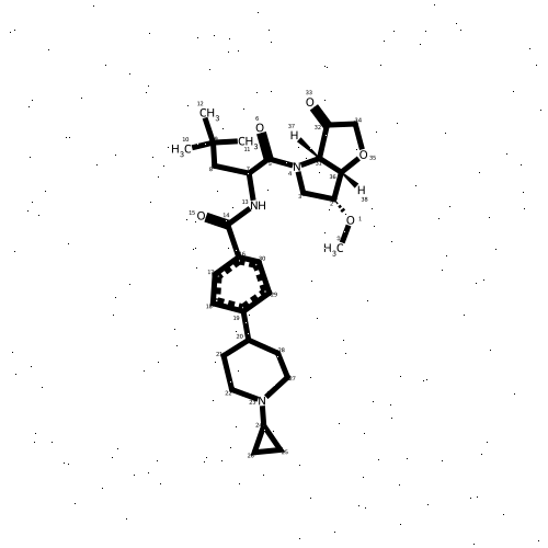 CO[C@@H]1CN(C(=O)C(CC(C)(C)C)NC(=O)c2ccc(C3CCN(C4CC4)CC3)cc2)[C@@H]2C(=O)CO[C@@H]21